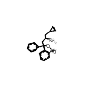 CCCOC(CC(N)CC1CC1)(c1ccccc1)c1ccccc1.Cl